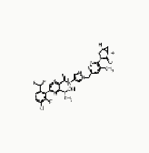 Cc1cc(Cn2cc(NC(=O)c3ncc(-c4c(C(F)F)ccc(Cl)c4F)nc3C(C)O)cn2)nnc1N1C[C@H]2C[C@H]2C1=O